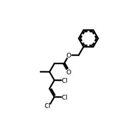 CC(CC(=O)OCc1ccccc1)C(Cl)C=C(Cl)Cl